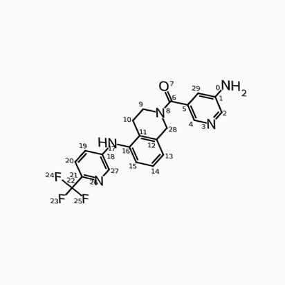 Nc1cncc(C(=O)N2CCc3c(cccc3Nc3ccc(C(F)(F)F)nc3)C2)c1